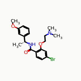 COc1cccc([C@@H](C)NC(=O)c2ccc(Br)cc2OCCN(C)C)c1